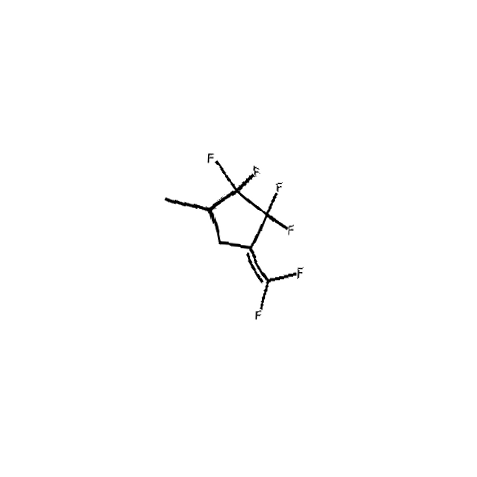 CC1CC(=C(F)F)C(F)(F)C1(F)F